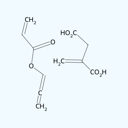 C=C(CC(=O)O)C(=O)O.C=C=COC(=O)C=C